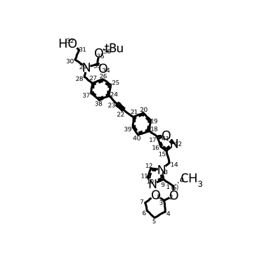 C[C@H](OC1CCCCO1)c1nccn1Cc1cc(-c2ccc(C#Cc3ccc(CN(CCO)C(=O)OC(C)(C)C)cc3)cc2)on1